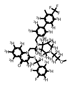 [2H]c1c([2H])c(F)c(F)c(C([2H])([2H])Sc2c([2H])c(=O)c3c([2H])c([2H])c([2H])c([2H])c3n2CC(=O)N(Cc2c([2H])c([2H])c(-c3c([2H])c([2H])c(C(F)(F)F)c(C)c3[2H])c([2H])c2[2H])C2([2H])C([2H])([2H])C([2H])([2H])N(C([2H])([2H])C([2H])([2H])OC)C([2H])([2H])C2([2H])[2H])c1[2H]